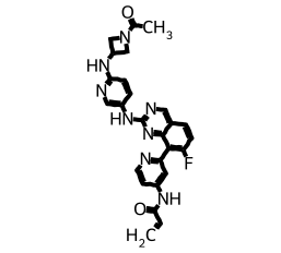 C=CC(=O)Nc1ccnc(-c2c(F)ccc3cnc(Nc4ccc(NC5CN(C(C)=O)C5)nc4)nc23)c1